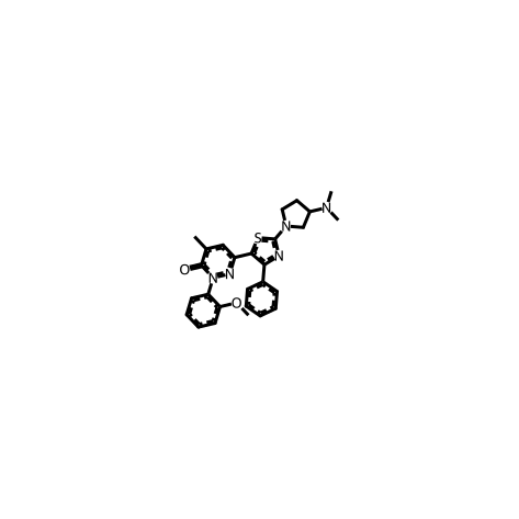 COc1ccccc1-n1nc(-c2sc(N3CCC(N(C)C)C3)nc2-c2ccccc2)cc(C)c1=O